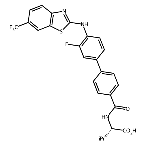 CC(C)[C@H](NC(=O)c1ccc(-c2ccc(Nc3nc4ccc(C(F)(F)F)cc4s3)c(F)c2)cc1)C(=O)O